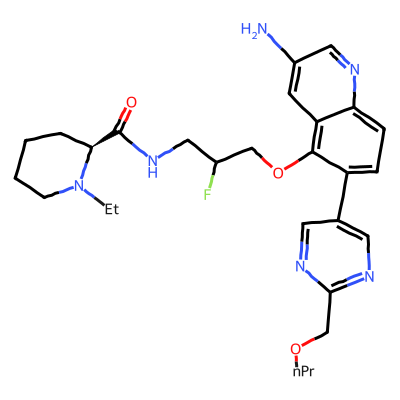 CCCOCc1ncc(-c2ccc3ncc(N)cc3c2OCC(F)CNC(=O)[C@@H]2CCCCN2CC)cn1